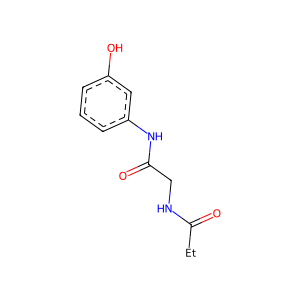 CCC(=O)NCC(=O)Nc1cccc(O)c1